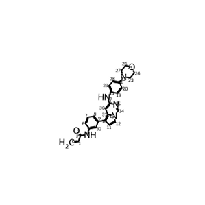 C=CC(=O)Nc1cccc(-c2ccn3cnc(Nc4ccc(N5CCOCC5)cc4)cc23)c1